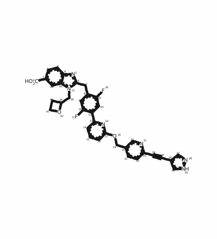 O=C(O)c1ccc2nc(Cc3cc(F)c(-c4cccc(OCc5ccc(C#Cc6cn[nH]c6)nc5)n4)cc3F)n(CC3CCO3)c2c1